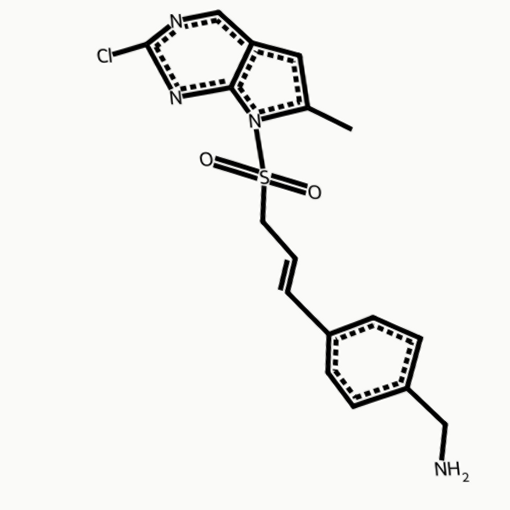 Cc1cc2cnc(Cl)nc2n1S(=O)(=O)CC=Cc1ccc(CN)cc1